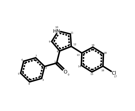 O=C(c1ccccc1)c1c[nH]cc1-c1ccc(Cl)cc1